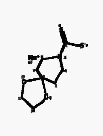 S=C([S-])N1CCC2(CC1)OCCO2.[Na+]